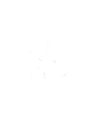 CSC1NC(=O)N(C(C)C)C(=O)N1C